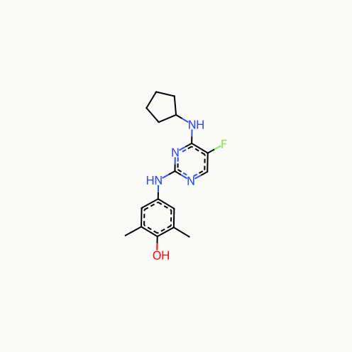 Cc1cc(Nc2ncc(F)c(NC3CCCC3)n2)cc(C)c1O